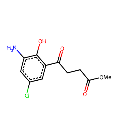 COC(=O)CCC(=O)c1cc(Cl)cc(N)c1O